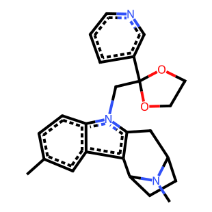 Cc1ccc2c(c1)c1c(n2CC2(c3cccnc3)OCCO2)CC2CCC1N2C